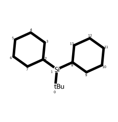 CC(C)(C)[Si](C1CCCCC1)C1CCCCC1